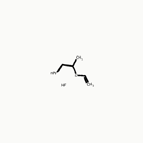 C=COC(C)CCCC.F